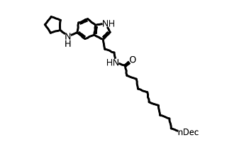 CCCCCCCCCCCCCCCCCCCC(=O)NCCc1c[nH]c2ccc(NC3CCCC3)cc12